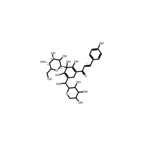 O=C(/C=C/c1ccc(O)cc1)C1=C(O)C(O)([C@H]2OC(CO)[C@H](O)[C@@H](O)C2O)C(O)=C(C(O)C2OCC(O)C(O)C2O)C1